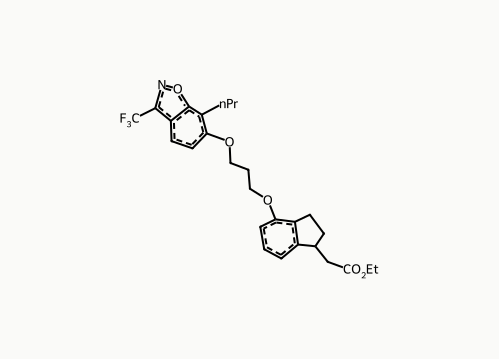 CCCc1c(OCCCOc2cccc3c2CCC3CC(=O)OCC)ccc2c(C(F)(F)F)noc12